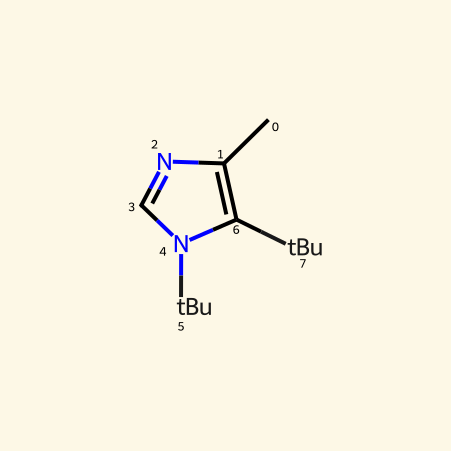 Cc1ncn(C(C)(C)C)c1C(C)(C)C